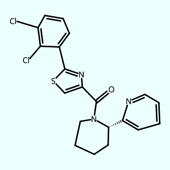 O=C(c1csc(-c2cccc(Cl)c2Cl)n1)N1CCCC[C@H]1c1ccccn1